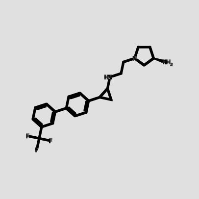 N[C@@H]1CCN(CCNC2CC2c2ccc(-c3cccc(C(F)(F)F)c3)cc2)C1